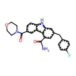 NC(=O)c1cc(Cc2ccc(F)cc2)cc2[nH]c3ccc(C(=O)N4CCOCC4)cc3c12